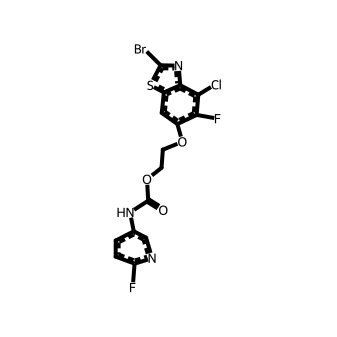 O=C(Nc1ccc(F)nc1)OCCOc1cc2sc(Br)nc2c(Cl)c1F